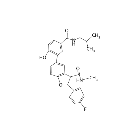 CNC(=O)C1c2cc(-c3cc(C(=O)NCC(C)C)ccc3O)ccc2OC1c1ccc(F)cc1